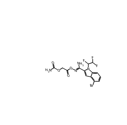 NC(=O)OCC(=O)ON=C(N)c1cc2c(Br)cccc2n1C(F)C(F)F